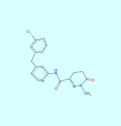 CN1N=C(C(=O)Nc2cc(Cc3cccc(Cl)c3)ccn2)CCC1=O